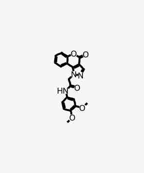 COc1ccc(NC(=O)Cn2ncc3c(=O)oc4ccccc4c32)cc1OC